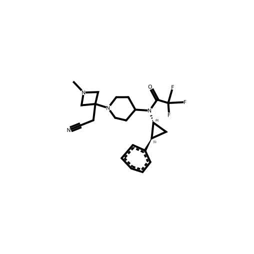 CN1CC(CC#N)(N2CCC(N(C(=O)C(F)(F)F)[C@@H]3C[C@H]3c3ccccc3)CC2)C1